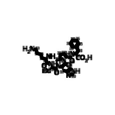 CC[C@H](C)[C@H](NC(=O)[C@@H](N)CCCCN)C(=O)N[C@@H](Cc1c[nH]cn1)C(=O)N1CCC[C@H]1C(=O)N[C@@H](Cc1ccccc1)C(=O)O